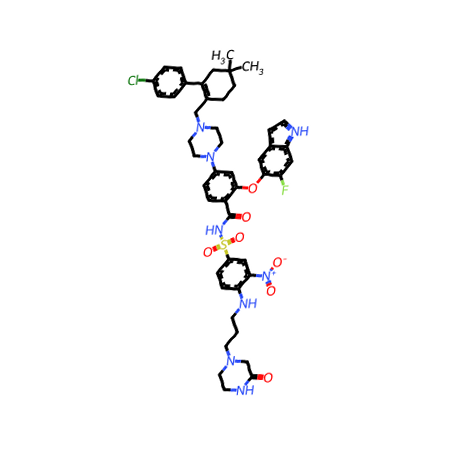 CC1(C)CCC(CN2CCN(c3ccc(C(=O)NS(=O)(=O)c4ccc(NCCCN5CCNC(=O)C5)c([N+](=O)[O-])c4)c(Oc4cc5cc[nH]c5cc4F)c3)CC2)=C(c2ccc(Cl)cc2)C1